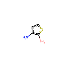 Bc1sccc1N